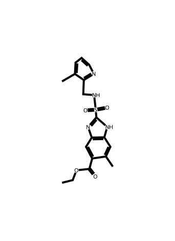 CCOC(=O)c1cc2nc(S(=O)(=O)NCc3ncccc3C)[nH]c2cc1C